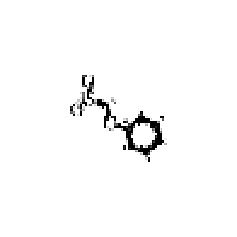 O=S(=O)=COc1ccccc1